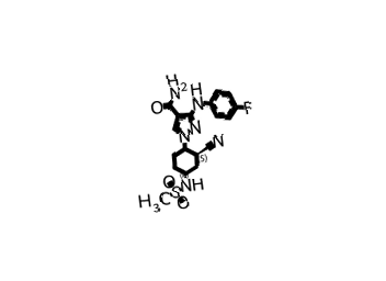 CS(=O)(=O)N[C@@H]1CCC(n2cc(C(N)=O)c(Nc3ccc(F)cc3)n2)[C@@H](C#N)C1